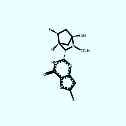 CC(C)(C)[C@]12C[C@H]([C@@H](c3nc4cc(Br)sc4c(=O)[nH]3)N1C(=O)O)[C@@H](F)C2